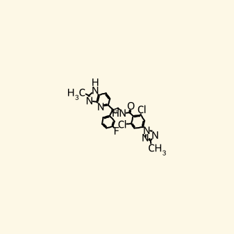 Cc1ncn(-c2cc(Cl)c(C(=O)NC[C@@H](c3cccc(F)c3)c3ccc4[nH]c(C)nc4n3)c(Cl)c2)n1